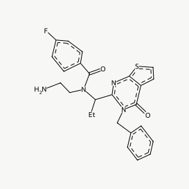 CCC(c1nc2sccc2c(=O)n1Cc1ccccc1)N(CCN)C(=O)c1ccc(F)cc1